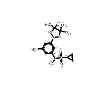 Cc1cc(B2OC(C)(C)C(C)(C)O2)cc(N(C)S(=O)(=O)C2CC2)c1